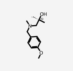 [CH2][C@@](C)(O)CN(C)Cc1ccc(OC)cc1